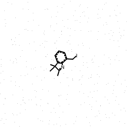 CC1=Nc2c(CI)cccc2C1(C)C